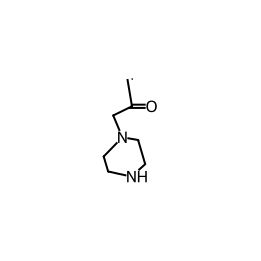 [CH2]C(=O)CN1CCNCC1